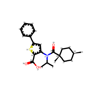 CC(C)N(c1cc(-c2ccccc2)sc1C(=O)O)C(=O)[C@]1(C)CC[C@@H](C)CC1